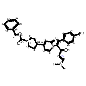 CN(C)/C=C/C(=O)c1c(-c2ccc(F)cc2)nc2cc(C3CCN(C(=O)OCc4ccccc4)CC3)ccn12